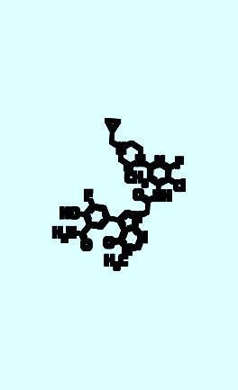 C[C@H]1CN(CC2CC2)CCN1c1cc(NC(=O)Cn2cc(-c3cc(F)c(O)c(C(N)=O)c3)c3c(=O)n(C)cnc32)c(Cl)c(F)n1